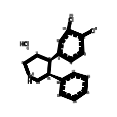 Cl.Clc1ccc([C@@H]2CCNC[C@@H]2c2ccccc2)cc1Cl